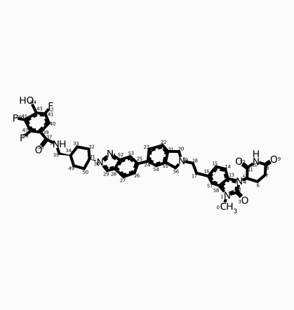 Cn1c(=O)n(C2CCC(=O)NC2=O)c2ccc(CCN3Cc4ccc(-c5ccc6cn([C@H]7CC[C@H](CNC(=O)c8cc(F)c(O)c(F)c8F)CC7)nc6c5)cc4C3)cc21